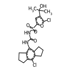 CC(C)(O)c1cc(S(=O)(=O)NC(=O)Nc2c3c(c(Cl)c4c2CCC4)CCC3)oc1Cl